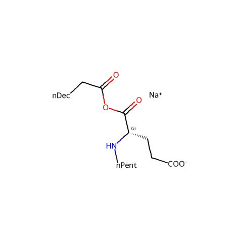 CCCCCCCCCCCC(=O)OC(=O)[C@H](CCC(=O)[O-])NCCCCC.[Na+]